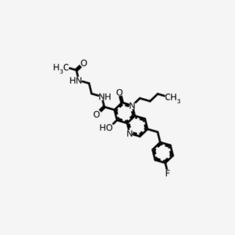 CCCCn1c(=O)c(C(=O)NCCNC(C)=O)c(O)c2ncc(Cc3ccc(F)cc3)cc21